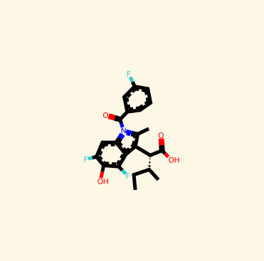 CCC(C)[C@@H](C(=O)O)c1c(C)n(C(=O)c2cccc(F)c2)c2cc(F)c(O)c(F)c12